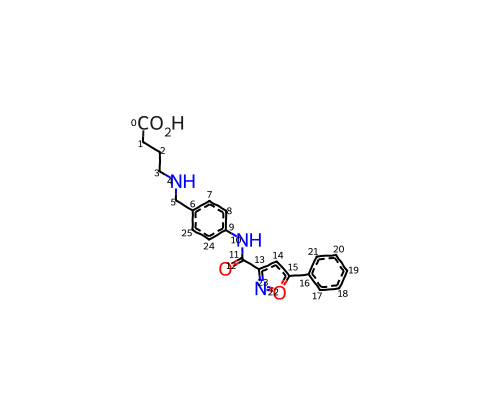 O=C(O)CCCNCc1ccc(NC(=O)c2cc(-c3ccccc3)on2)cc1